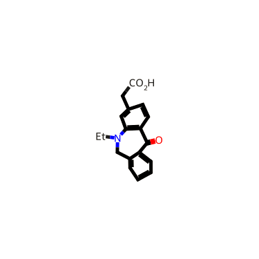 CCN1Cc2ccccc2C(=O)c2ccc(CC(=O)O)cc21